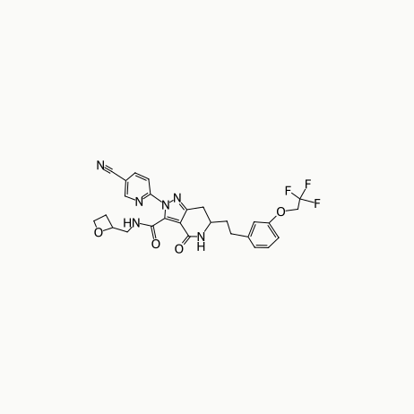 N#Cc1ccc(-n2nc3c(c2C(=O)NCC2CCO2)C(=O)NC(CCc2cccc(OCC(F)(F)F)c2)C3)nc1